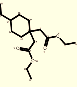 CCOC(=O)CC1(CC(=O)OCC)CCC(CC)CC1